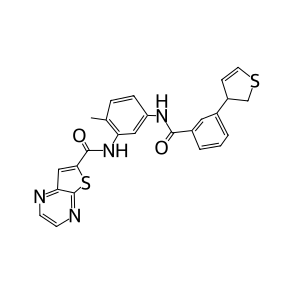 Cc1ccc(NC(=O)c2cccc(C3C=CSC3)c2)cc1NC(=O)c1cc2nccnc2s1